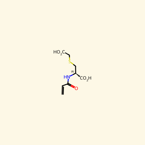 C=CC(=O)N[C@@H](CSCC(=O)O)C(=O)O